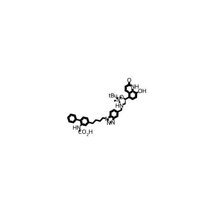 CC(C)(C)[Si](C)(C)O[C@H](CNCc1ccc2c(c1)nnn2CCCCc1ccc(-c2ccccc2)c(NC(=O)O)c1)c1ccc(O)c2[nH]c(=O)ccc12